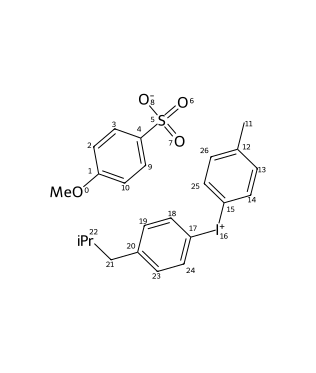 COc1ccc(S(=O)(=O)[O-])cc1.Cc1ccc([I+]c2ccc(CC(C)C)cc2)cc1